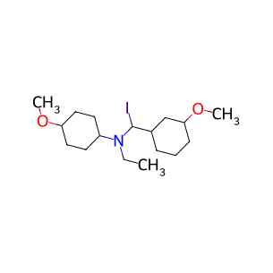 CCN(C1CCC(OC)CC1)C(I)C1CCCC(OC)C1